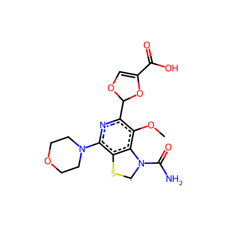 COc1c(C2OC=C(C(=O)O)O2)nc(N2CCOCC2)c2c1N(C(N)=O)[CH]S2